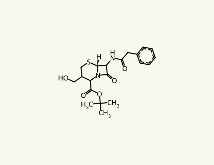 CC(C)(C)OC(=O)C1C(CO)CS[C@@H]2C(NC(=O)Cc3ccccc3)C(=O)N12